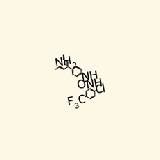 C=C/C=C(\C=C(\C)N)c1ccc(NC(=O)Nc2cc(C(F)(F)F)ccc2Cl)cc1